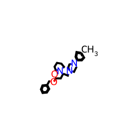 Cc1ccc(N2CCN(CC(CC(=O)OCc3ccccc3)N3CCCCC3)CC2)cc1